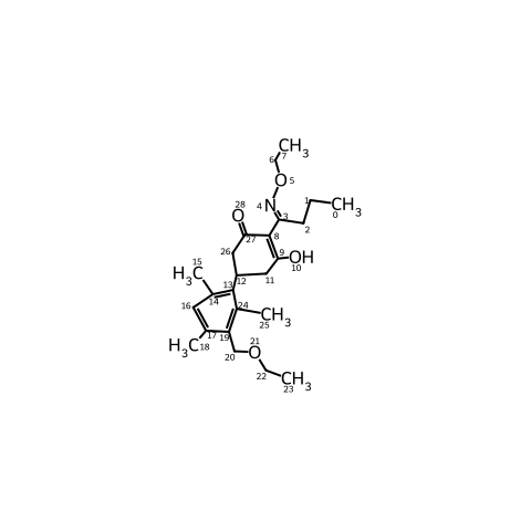 CCCC(=NOCC)C1=C(O)CC(c2c(C)cc(C)c(COCC)c2C)CC1=O